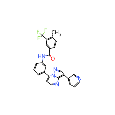 Cc1ccc(C(=O)Nc2cccc(-c3ccnc4c(-c5cccnc5)cnn34)c2)cc1C(F)(F)F